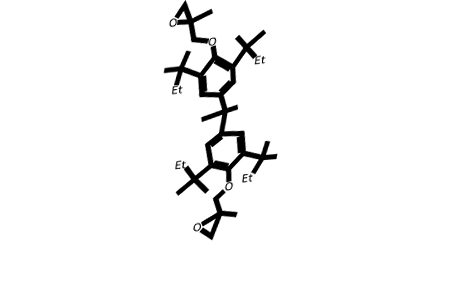 CCC(C)(C)c1cc(C(C)(C)c2cc(C(C)(C)CC)c(OCC3(C)CO3)c(C(C)(C)CC)c2)cc(C(C)(C)CC)c1OCC1(C)CO1